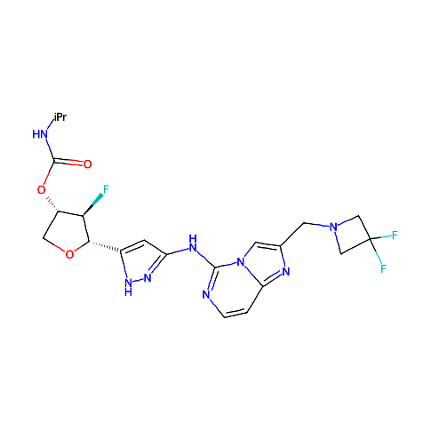 CC(C)NC(=O)O[C@H]1CO[C@@H](c2cc(Nc3nccc4nc(CN5CC(F)(F)C5)cn34)n[nH]2)[C@@H]1F